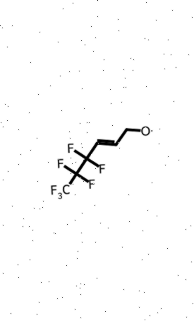 [O]C/C=C/C(F)(F)C(F)(F)C(F)(F)F